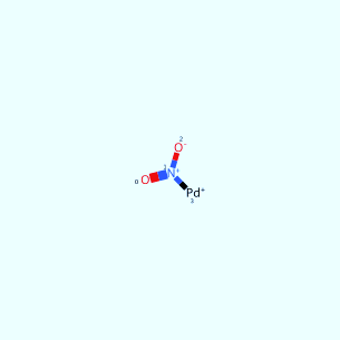 O=[N+]([O-])[Pd+]